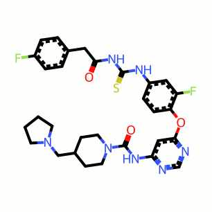 O=C(Cc1ccc(F)cc1)NC(=S)Nc1ccc(Oc2cc(NC(=O)N3CCC(CN4CCCC4)CC3)ncn2)c(F)c1